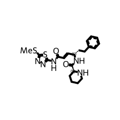 CSc1nnc(NC(=O)C=C[C@H](CCc2ccccc2)NC(=O)[C@@H]2CCCCN2)s1